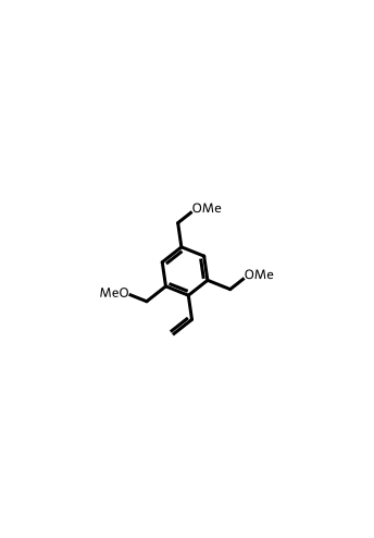 C=Cc1c(COC)cc(COC)cc1COC